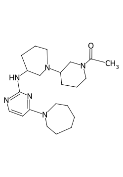 CC(=O)N1CCCC(N2CCCC(Nc3nccc(N4CCCCCC4)n3)C2)C1